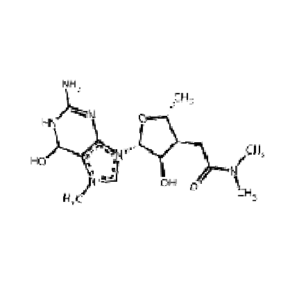 C[C@H]1O[C@@H](n2c[n+](C)c3c2N=C(N)NC3O)[C@H](O)[C@@H]1CC(=O)N(C)C